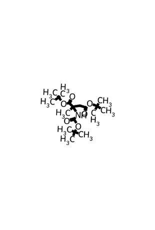 CC(C)(C)OC(=O)CC(C)(NC(=O)OC(C)(C)C)C(=O)OC(C)(C)C